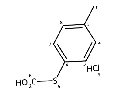 Cc1ccc(SC(=O)O)cc1.Cl